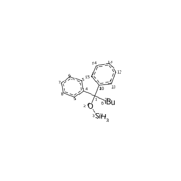 CCC(C)C(O[SiH3])(c1ccccc1)c1ccccc1